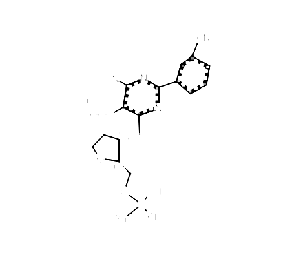 CC(C)(C)[Si](C)(C)OC[C@H]1OCC[C@@H]1Oc1nc(-c2cccc(C#N)c2)nc(N)c1C(=O)[O-].[Li+]